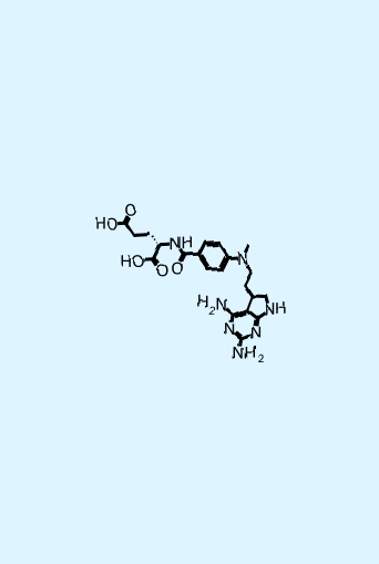 CN(CCC1CNc2nc(N)nc(N)c21)c1ccc(C(=O)N[C@@H](CCC(=O)O)C(=O)O)cc1